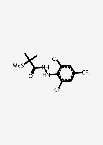 CSC(C)(C)C(=O)NNc1c(Cl)cc(C(F)(F)F)cc1Cl